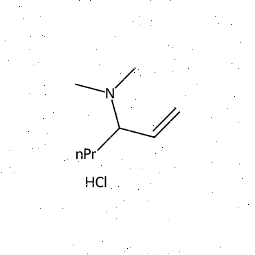 C=CC(CCC)N(C)C.Cl